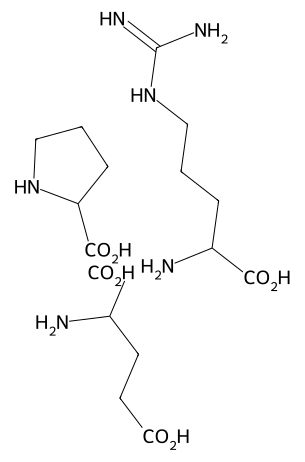 N=C(N)NCCCC(N)C(=O)O.NC(CCC(=O)O)C(=O)O.O=C(O)C1CCCN1